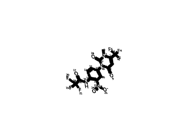 Cn1c(C(F)(F)F)cc(=O)n(-c2ccc(NC(=O)C(F)(F)F)c([N+](=O)[O-])c2)c1=O